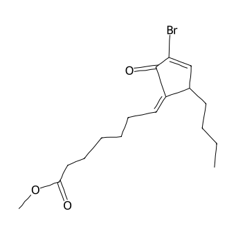 CCCCC1C=C(Br)C(=O)C1=CCCCCCC(=O)OC